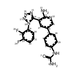 NC(=O)Nc1ccc(-c2cnc(N)c(-c3nnnn3-c3cccc(F)c3F)c2)cc1